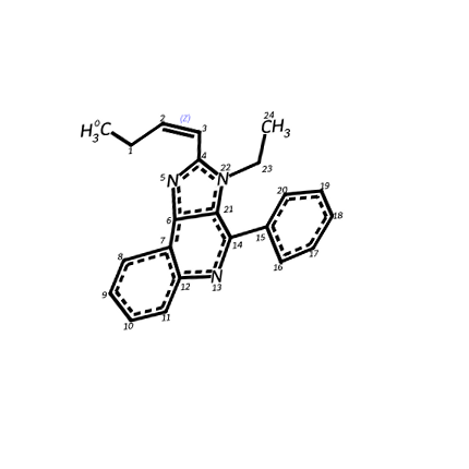 CC/C=C\c1nc2c3ccccc3nc(-c3ccccc3)c2n1CC